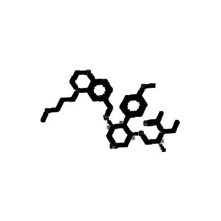 CCN(C(C)=O)[C@H](C)CO[C@@H]1CNC[C@H](OCc2ccc3c(c2)N(CCCOC)CCO3)[C@H]1c1ccc(OC)cc1